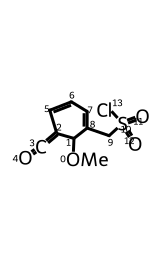 COC1C(=C=O)C=CC=C1CS(=O)(=O)Cl